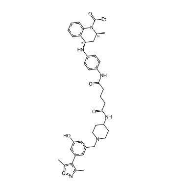 CCC(=O)N1c2ccccc2[C@H](Nc2ccc(NC(=O)CCCC(=O)NC3CCN(Cc4cc(O)cc(-c5c(C)noc5C)c4)CC3)cc2)C[C@@H]1C